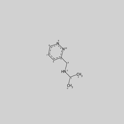 CC(C)NCc1cccnn1